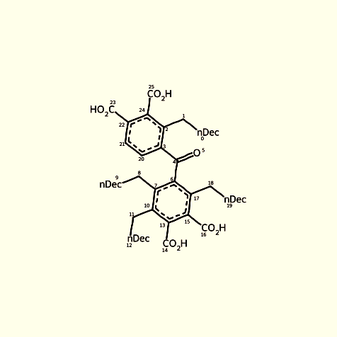 CCCCCCCCCCCc1c(C(=O)c2c(CCCCCCCCCCC)c(CCCCCCCCCCC)c(C(=O)O)c(C(=O)O)c2CCCCCCCCCCC)ccc(C(=O)O)c1C(=O)O